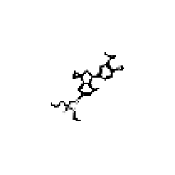 CCOP(=O)(COc1cc(C)c2c(c1)C1(CC1)CC2c1ccc(O)c(C(C)C)c1)OCC